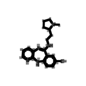 CN1CCCC1CCNC1=Nc2cccnc2Nc2ccc(Cl)cc21